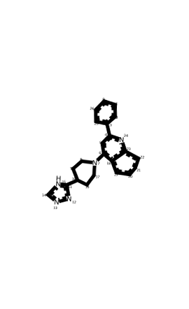 c1ccc(-c2cc(N3CCC(c4nnc[nH]4)CC3)c3ccccc3n2)cc1